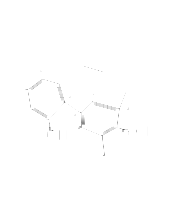 CC.Cc1cc(-c2ccccc2O)cc(C)c1O